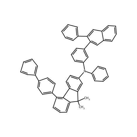 CC1(C)c2cc(N(c3ccccc3)c3cccc(-c4cc5ccccc5cc4-c4ccccc4)c3)ccc2-c2c(-c3ccc(-c4ccccc4)cc3)cccc21